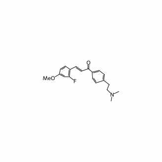 COc1ccc(C=CC(=O)c2ccc(CCN(C)C)cc2)c(F)c1